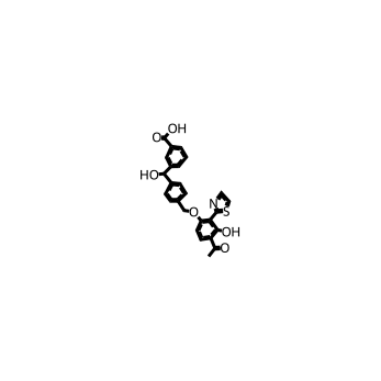 CC(=O)c1ccc(OCc2ccc(C(O)c3cccc(C(=O)O)c3)cc2)c(-c2nccs2)c1O